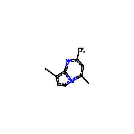 Cc1ccn2c(C)cc(C(F)(F)F)nc12